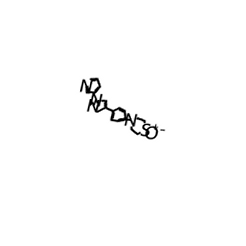 [O-][S+]1CCN(c2ccc(-c3cnn(-c4cccnc4)c3)cc2)CC1